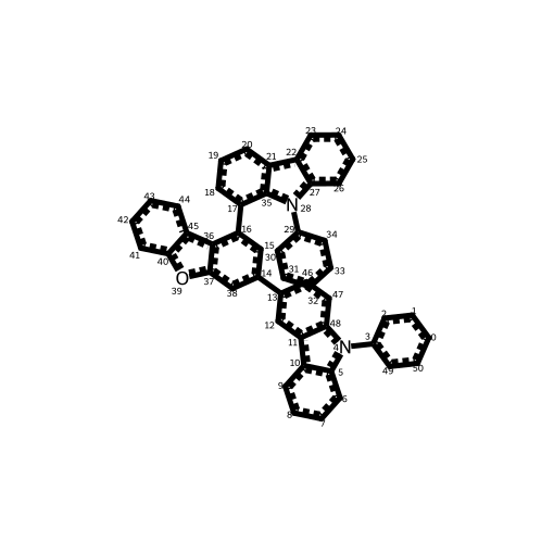 c1ccc(-n2c3ccccc3c3cc(-c4cc(-c5cccc6c7ccccc7n(-c7ccccc7)c56)c5c(c4)oc4ccccc45)ccc32)cc1